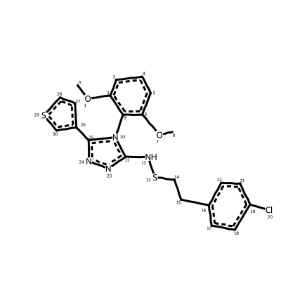 COc1cccc(OC)c1-n1c(NSCCc2ccc(Cl)cc2)nnc1-c1ccsc1